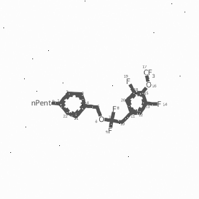 CCCCCc1ccc(COC(F)(F)Cc2cc(F)c(OC(F)(F)F)c(F)c2)cc1